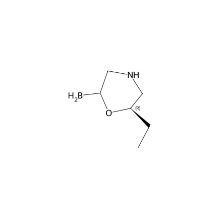 BC1CNC[C@@H](CC)O1